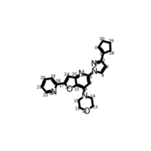 C1=C(c2ccn(-c3cc(N4CCOCC4)c4oc(-c5ccccn5)cc4n3)n2)CCC1